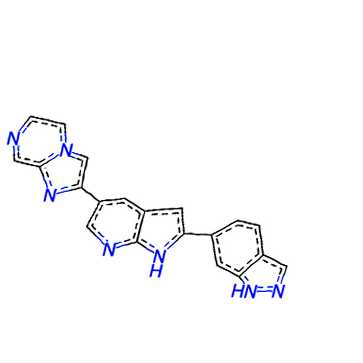 c1cn2cc(-c3cnc4[nH]c(-c5ccc6cn[nH]c6c5)cc4c3)nc2cn1